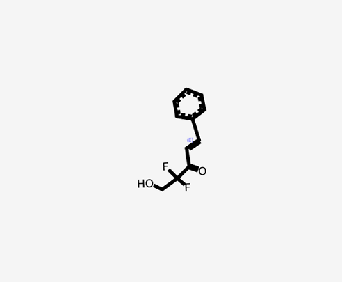 O=C(/C=C/c1ccccc1)C(F)(F)CO